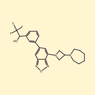 OC(c1cccc(-c2cc(N3CC(N4CCCCCC4)C3)c3nonc3c2)c1)C(F)(F)F